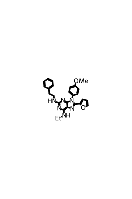 CCNc1nc(NCCc2ccccc2)nc2c1nc(-c1ccco1)n2-c1ccc(OC)cc1